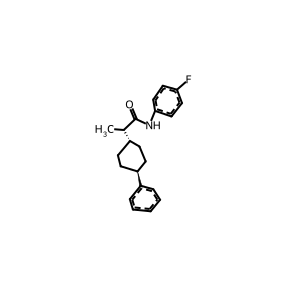 CC(C(=O)Nc1ccc(F)cc1)[C@H]1CC[C@H](c2ccccc2)CC1